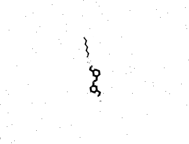 CCCCCCCCNOc1cc2c(ccc3c2sc2c4ccc5sc(OC)cc5c4sc32)s1